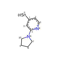 [SnH][c]1ccnc(N2CCCC2)c1